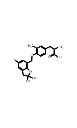 Cc1cc(CC(C)C(=O)O)ccc1OCc1cc(F)cc2c1OC(C)(C)C2